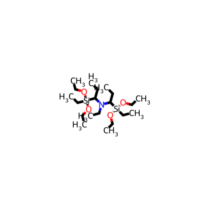 CCO[Si](CC)(OCC)C(CC)N(CC)C(CC)[Si](CC)(OCC)OCC